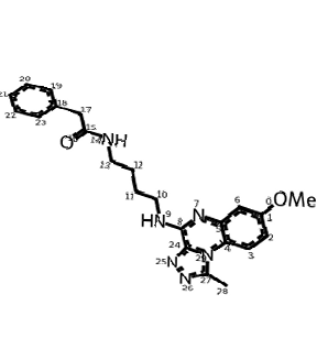 COc1ccc2c(c1)nc(NCCCCNC(=O)Cc1ccccc1)c1nnc(C)n12